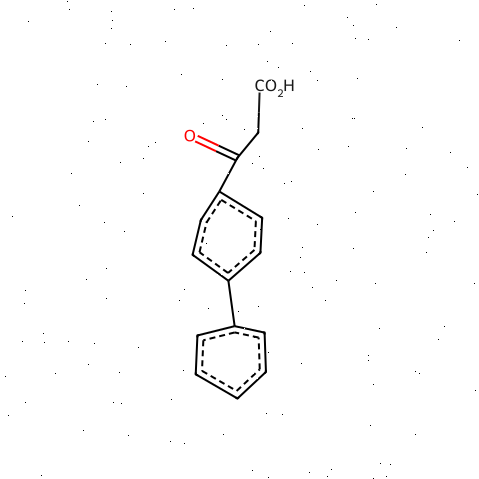 O=C(O)CC(=O)c1ccc(-c2ccccc2)cc1